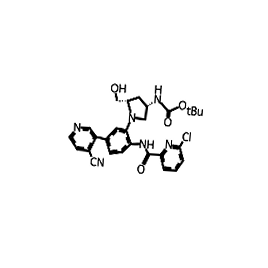 CC(C)(C)OC(=O)N[C@H]1C[C@@H](CO)N(c2cc(-c3cnccc3C#N)ccc2NC(=O)c2cccc(Cl)n2)C1